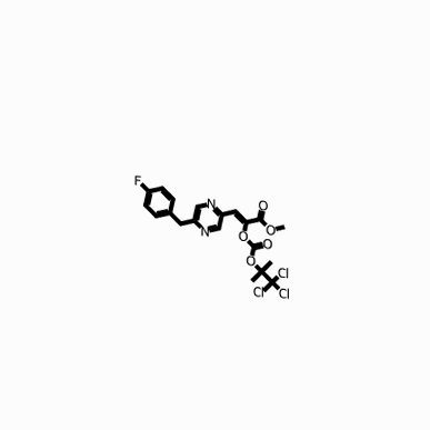 COC(=O)C(=Cc1cnc(Cc2ccc(F)cc2)cn1)OC(=O)OC(C)(C)C(Cl)(Cl)Cl